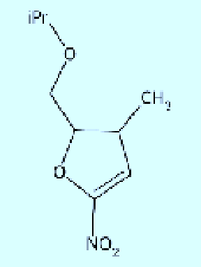 CC(C)OCC1OC([N+](=O)[O-])=CC1C